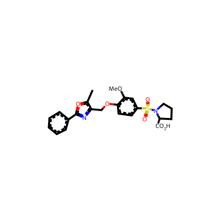 COc1cc(S(=O)(=O)N2CCCC2C(=O)O)ccc1OCc1nc(-c2ccccc2)oc1C